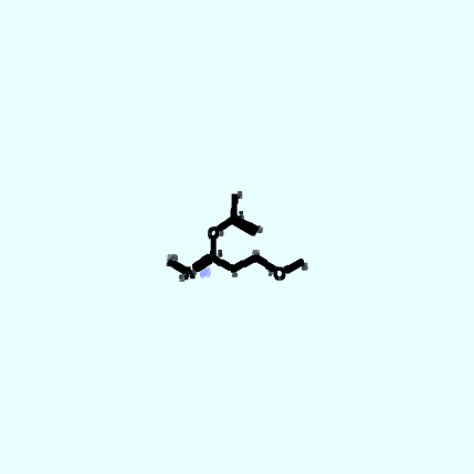 C=C(C)O/C(CCOC)=N\C